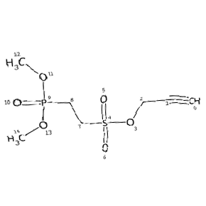 C#CCOS(=O)(=O)CCP(=O)(OC)OC